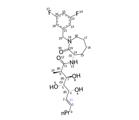 CCC/C=C/[C@@H](O)[C@H](O)[C@H](O)[C@@H](C)C(=O)N[C@H]1CCCCN(Cc2cc(F)cc(F)c2)C1=O